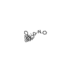 Cc1c(OCCN(C)Cc2ccccc2)ccnc1-n1c(S(C)(=O)=O)nc2ccccc21